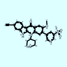 C#Cc1ccc2c(c1)[nH]c1c2c(=O)c2cc(OC)c(-c3cncc(S(=O)(=O)F)c3)cc2n1C1CCNCC1